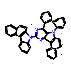 c1ccc(-c2nc(-n3c4ccccc4c4c5ccccc5ccc43)nc3c4c5ccccc5ccc4n(-c4ccccc4)c23)cc1